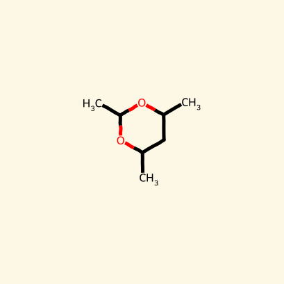 CC1CC(C)OC(C)O1